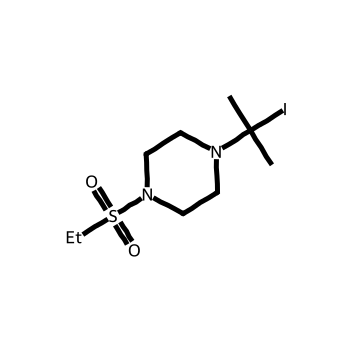 CCS(=O)(=O)N1CCN(C(C)(C)I)CC1